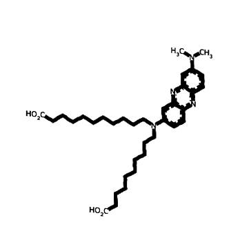 CN(C)c1ccc2nc3ccc(N(CCCCCCCCCCC(=O)O)CCCCCCCCCC(=O)O)cc3nc2c1